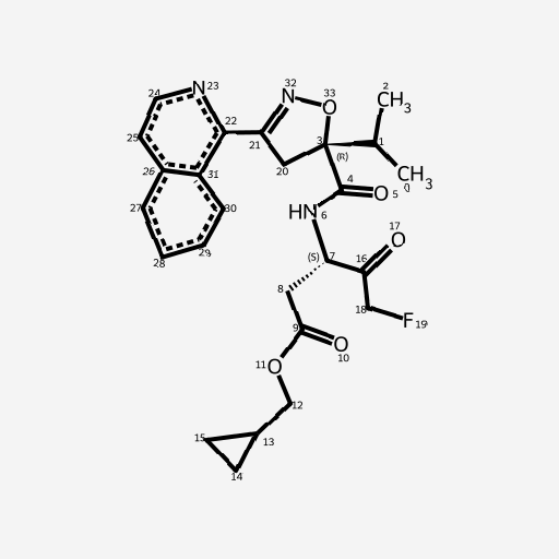 CC(C)[C@@]1(C(=O)N[C@@H](CC(=O)OCC2CC2)C(=O)CF)CC(c2nccc3ccccc23)=NO1